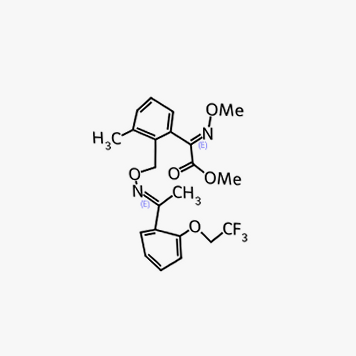 CO/N=C(/C(=O)OC)c1cccc(C)c1CO/N=C(\C)c1ccccc1OCC(F)(F)F